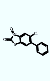 O=C1Sc2cc(-c3ccccc3)c(Cl)cc2[N+]1=O